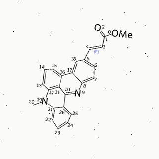 COC(=O)/C=C/c1ccc2nc3c4c(cccc4c2c1)N(C)c1ccccc1-3